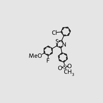 COc1ccc(-c2sc(-c3ccccc3Cl)nc2-c2ccc(S(C)(=O)=O)cc2)cc1F